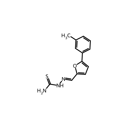 Cc1cccc(-c2ccc(C=NNC(N)=S)o2)c1